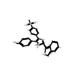 CS(=O)(=O)c1ccc(-c2nc(-c3occ4ccccc34)[nH]c2-c2ccc(F)cc2)cc1